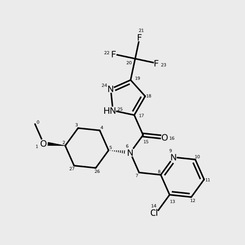 CO[C@H]1CC[C@H](N(Cc2ncccc2Cl)C(=O)c2cc(C(F)(F)F)n[nH]2)CC1